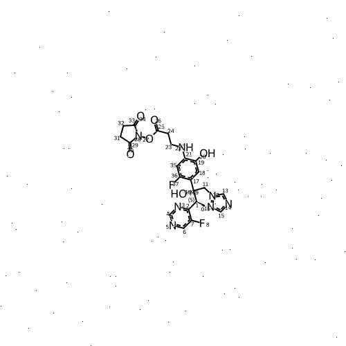 C[C@@H](c1ncncc1F)[C@](O)(Cn1cncn1)c1cc(O)c(NCCC(=O)ON2C(=O)CCC2=O)cc1F